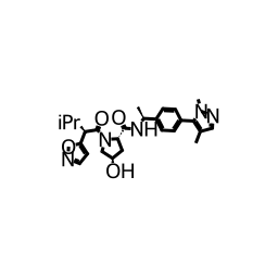 Cc1cnn(C)c1-c1ccc([C@H](C)NC(=O)[C@@H]2C[C@@H](O)CN2C(=O)[C@@H](c2ccno2)C(C)C)cc1